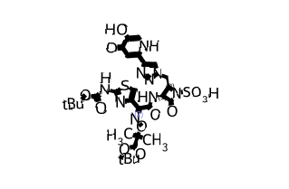 CC(C)(C)OC(=O)Nc1nc(/C(=N/OC(C)(C)C(=O)OC(C)(C)C)C(=O)N[C@@H]2C(=O)N(S(=O)(=O)O)[C@@H]2Cn2cc(-c3cc(=O)c(O)c[nH]3)nn2)cs1